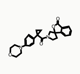 O=C1OC2(CCN(C(=O)C3(c4ccc(N5CCOCC5)cc4)CC3)C2)c2ccccc21